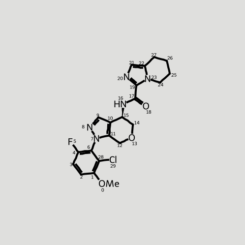 COc1ccc(F)c(-n2ncc3c2COC[C@@H]3NC(=O)c2ncc3n2CCCC3)c1Cl